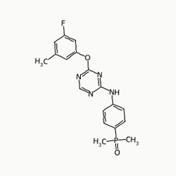 Cc1cc(F)cc(Oc2ncnc(Nc3ccc(P(C)(C)=O)cc3)n2)c1